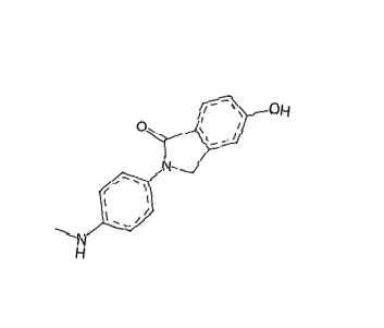 CNc1ccc(N2Cc3cc(O)ccc3C2=O)cc1